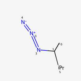 [CH2]C(N=[N+]=[N-])C(C)C